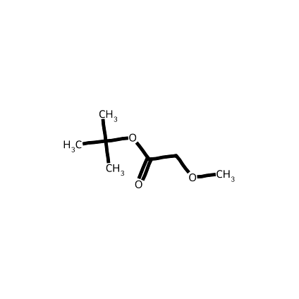 COCC(=O)OC(C)(C)C